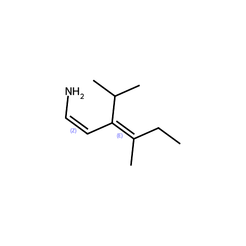 CC/C(C)=C(/C=C\N)C(C)C